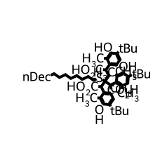 CCCCCCCCCCCCCCCCCCSC(CC(C(=O)O)c1c(C)cc(C(C)(C)C)c(O)c1C)(C(C(=O)O)c1c(C)cc(C(C)(C)C)c(O)c1C)C(C(=O)O)c1c(C)cc(C(C)(C)C)c(O)c1C